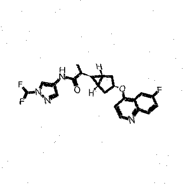 CC(C(=O)Nc1cnn(C(F)F)c1)[C@H]1[C@@H]2C[C@H](Oc3ccnc4ccc(F)cc34)C[C@@H]21